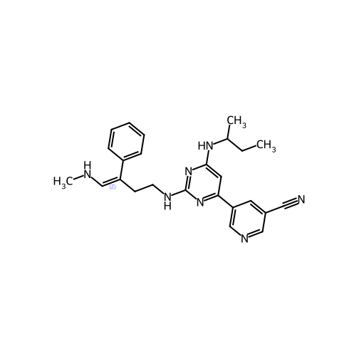 CCC(C)Nc1cc(-c2cncc(C#N)c2)nc(NCC/C(=C/NC)c2ccccc2)n1